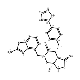 Nc1nc2c(CN3C[C@@H]4NCC(=O)N4[C@@H](Cc4ccc(-c5nnn[nH]5)cc4)C3=O)cccc2s1